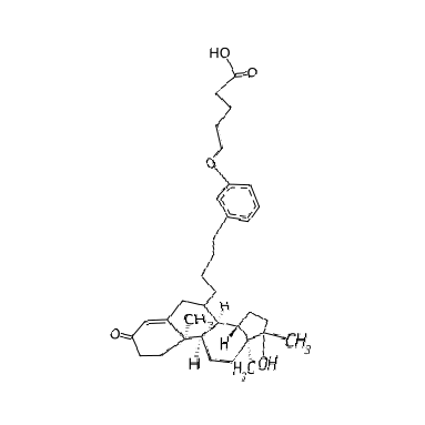 CC1(O)CC[C@H]2[C@@H]3C(CCCCc4cccc(OCCCCC(=O)O)c4)CC4=CC(=O)CC[C@]4(C)[C@@H]3CC[C@@]21C